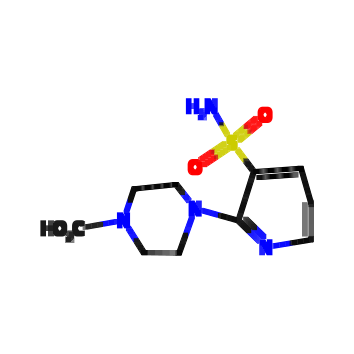 NS(=O)(=O)c1cccnc1N1CCN(C(=O)O)CC1